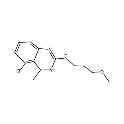 COCCCNC1=Nc2cccc(Cl)c2C(C)N1